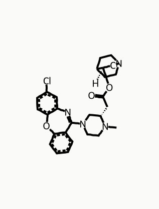 CN1CCN(C2=Nc3cc(Cl)ccc3Oc3ccccc32)C[C@@H]1CC(=O)O[C@@H]1CN2CCC1CC2